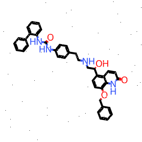 O=C(Nc1ccc(CCNC[C@@H](O)c2ccc(OCc3ccccc3)c3[nH]c(=O)ccc23)cc1)Nc1ccccc1-c1ccccc1